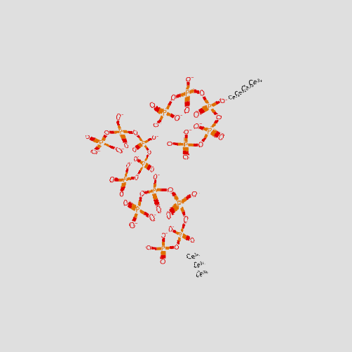 O=P([O-])([O-])OP(=O)([O-])OP(=O)([O-])OP(=O)([O-])OP(=O)([O-])[O-].O=P([O-])([O-])OP(=O)([O-])OP(=O)([O-])OP(=O)([O-])OP(=O)([O-])[O-].O=P([O-])([O-])OP(=O)([O-])OP(=O)([O-])OP(=O)([O-])OP(=O)([O-])[O-].[Ce+3].[Ce+3].[Ce+3].[Ce+3].[Ce+3].[Ce+3].[Ce+3]